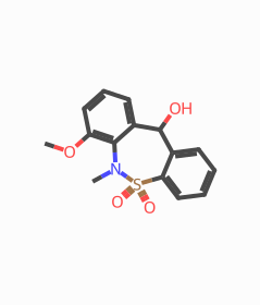 COc1cccc2c1N(C)S(=O)(=O)c1ccccc1C2O